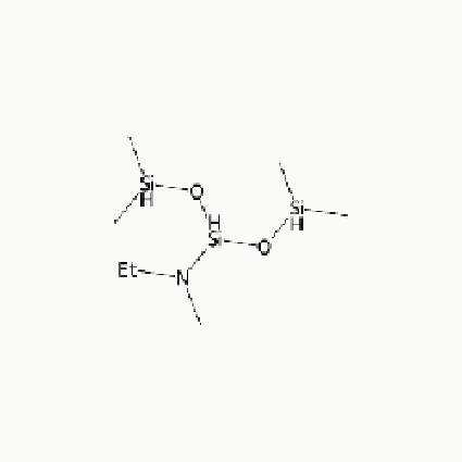 CCN(C)[SiH](O[SiH](C)C)O[SiH](C)C